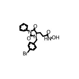 O=C(CCC1C(=O)N(c2ccccc2)C(=O)N1Cc1ccc(Br)cc1)NO